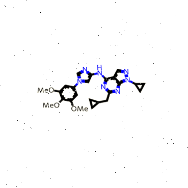 COc1cc(-n2cnc(Nc3nc(CC4CC4)nc4c3cnn4C3CC3)c2)cc(OC)c1OC